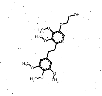 COc1cc(CCc2ccc(OCCO)c(OC)c2OC)cc(OC)c1OC